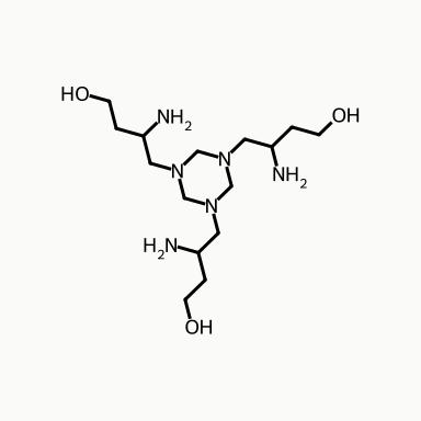 NC(CCO)CN1CN(CC(N)CCO)CN(CC(N)CCO)C1